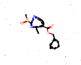 Cc1nc([S+](C)[O-])ncc1C(=O)OCc1ccccc1